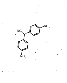 N#CC(c1ccc([N+](=O)[O-])cc1)c1ccc([N+](=O)[O-])cc1